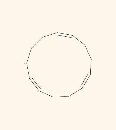 [CH]1C=CCCC=CCCC=CCC1